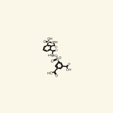 O=C(O)c1cc(C(=O)O)cc(S(=O)(=O)O)c1.O=C(O)c1cccc(S(=O)(=O)O)c1C(=O)O